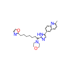 Cc1ccc2cc(-c3cnc([C@H](CCCCCCc4ncco4)N4CCOCC4)[nH]3)ccc2n1